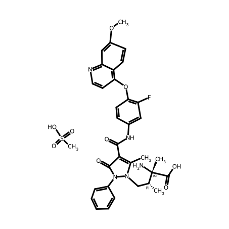 COc1ccc2c(Oc3ccc(NC(=O)c4c(C)n(C[C@@H](C)[C@](C)(N)C(=O)O)n(-c5ccccc5)c4=O)cc3F)ccnc2c1.CS(=O)(=O)O